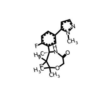 Cn1nccc1-c1ccc(F)c([C@@]2(C)NC(=O)COC(C)(C)C2(F)F)c1